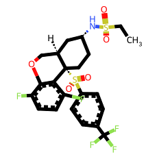 CCS(=O)(=O)N[C@@H]1CC[C@@]2(S(=O)(=O)c3ccc(C(F)(F)F)cc3)c3c(F)ccc(F)c3OC[C@H]2C1